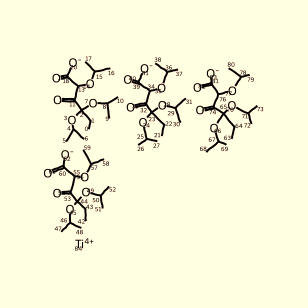 CCC(OC(C)C)(OC(C)C)C(=O)C(OC(C)C)C(=O)[O-].CCC(OC(C)C)(OC(C)C)C(=O)C(OC(C)C)C(=O)[O-].CCC(OC(C)C)(OC(C)C)C(=O)C(OC(C)C)C(=O)[O-].CCC(OC(C)C)(OC(C)C)C(=O)C(OC(C)C)C(=O)[O-].[Ti+4]